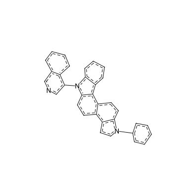 c1ccc(-n2ccc3c4ccc5c(c4ccc32)c2ccccc2n5-c2cncc3ccccc23)cc1